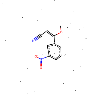 CO/C(=C/C#N)c1cccc([N+](=O)[O-])c1